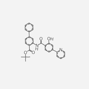 CC(C)(C)OC(=O)c1ccc(-c2ccccc2)cc1NC(=O)c1ccc(-c2ccccn2)cc1O